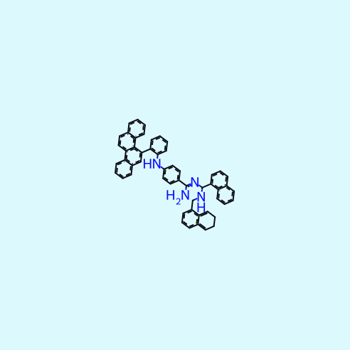 N/C(=N\C(NCc1cccc2c1=CCCC=2)c1cccc2ccccc12)c1ccc(Nc2ccccc2-c2cc3ccccc3c3ccc4ccccc4c23)cc1